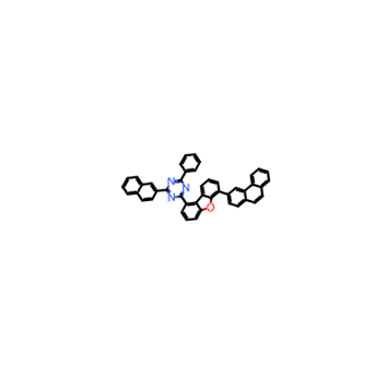 c1ccc(-c2nc(-c3ccc4ccccc4c3)nc(-c3cccc4oc5c(-c6ccc7ccc8ccccc8c7c6)cccc5c34)n2)cc1